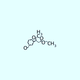 CCOC(=O)Cc1c(C)oc2ccc(C=O)cc12